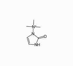 C[N+](C)(C)n1cc[nH]c1=O